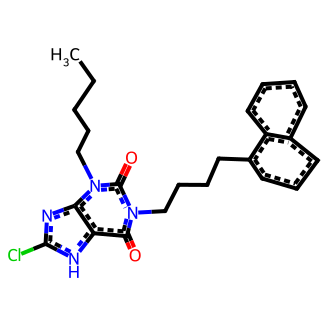 CCCCCn1c(=O)n(CCCCc2cccc3ccccc23)c(=O)c2[nH]c(Cl)nc21